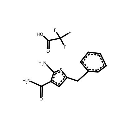 NC(=O)c1cc(Cc2ccccc2)sc1N.O=C(O)C(F)(F)F